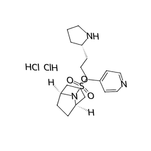 Cl.Cl.O=S(=O)(CCC[C@@H]1CCCN1)N1[C@@H]2CC[C@H]1C[C@H](Oc1ccncc1)C2